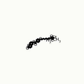 CCC(C)(C)C(=O)OCCCCCCOc1ccc(C(=O)Oc2ccc3oc(=O)ccc3c2)cc1